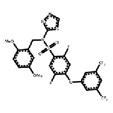 COc1ccc(OC)c(CN(c2nncs2)S(=O)(=O)c2cc(F)c(Oc3cc(C(F)(F)F)cc(C(F)(F)F)c3)cc2F)c1